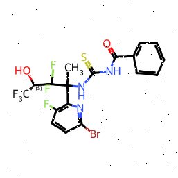 CC(NC(=S)NC(=O)c1ccccc1)(c1nc(Br)ccc1F)C(F)(F)[C@H](O)C(F)(F)F